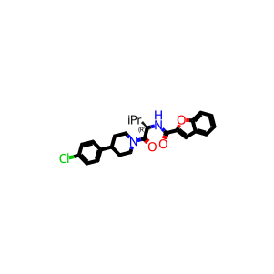 CC(C)[C@@H](NC(=O)c1cc2ccccc2o1)C(=O)N1CCC(c2ccc(Cl)cc2)CC1